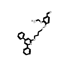 CCOc1cc(C=O)ccc1OCCCCCOc1cc(-c2ccccc2)cc(-c2ccccc2)n1